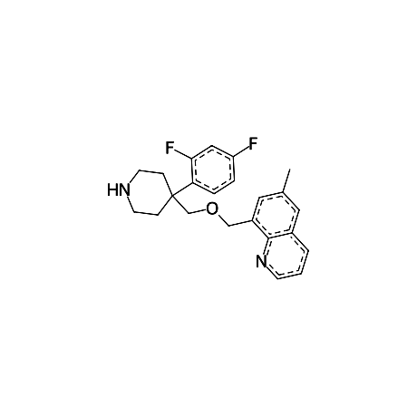 Cc1cc(COCC2(c3ccc(F)cc3F)CCNCC2)c2ncccc2c1